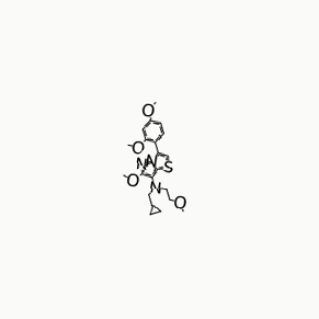 COCCN(CC1CC1)c1c(OC)nn2c(-c3ccc(OC)cc3OC)csc12